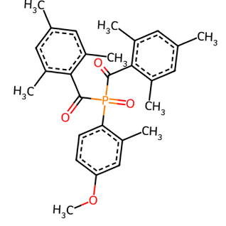 COc1ccc(P(=O)(C(=O)c2c(C)cc(C)cc2C)C(=O)c2c(C)cc(C)cc2C)c(C)c1